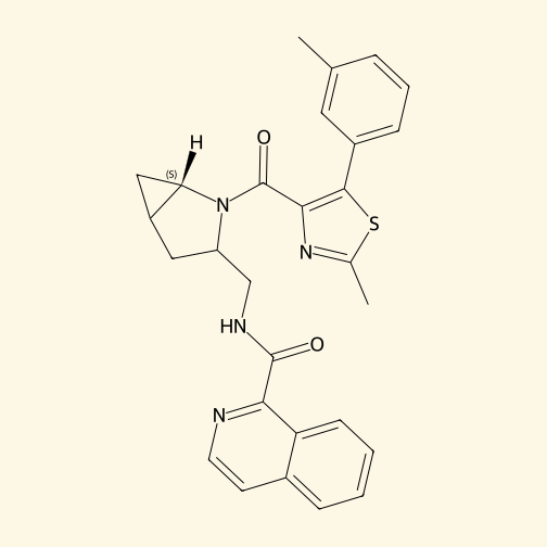 Cc1cccc(-c2sc(C)nc2C(=O)N2C(CNC(=O)c3nccc4ccccc34)CC3C[C@@H]32)c1